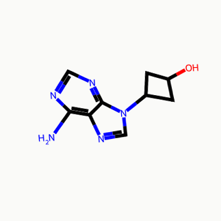 Nc1ncnc2c1ncn2C1CC(O)C1